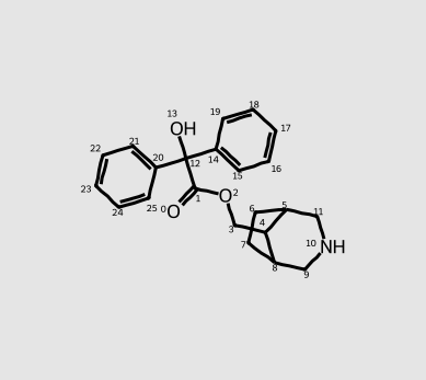 O=C(OCC1C2CCC1CNC2)C(O)(c1ccccc1)c1ccccc1